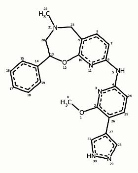 COc1nc(Nc2ccc3c(n2)OC(c2ccccc2)CN(C)C3)ccc1-c1cn[nH]c1